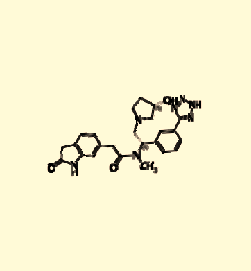 CN(C(=O)Cc1ccc2c(c1)NC(=O)C2)[C@H](CN1CC[C@H](O)C1)c1cccc(-c2nn[nH]n2)c1